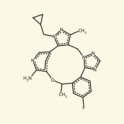 Cc1nn(CC2CC2)c2c1Cn1ncnc1-c1ccc(F)cc1C(C)Oc1cc-2cnc1N